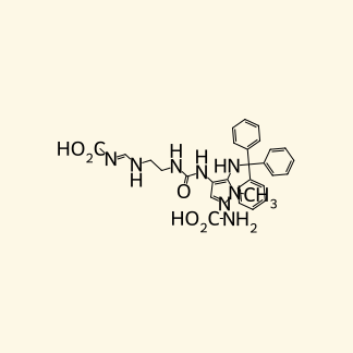 Cn1ncc(NC(=O)NCCNC=NC(=O)O)c1NC(c1ccccc1)(c1ccccc1)c1ccccc1.NC(=O)O